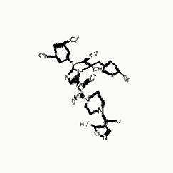 Cc1oncc1C(=O)N1CCN(S(=O)(=O)c2cnc3n2[C@](C)(Cc2ccc(Br)cc2)C(=O)N3c2cc(Cl)cc(Cl)c2)CC1